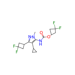 Cn1nc(C2CC(F)(F)C2)c(C2CC2)c1NC(=O)OC1CC(F)(F)C1